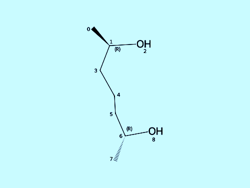 C[C@@H](O)CCC[C@@H](C)O